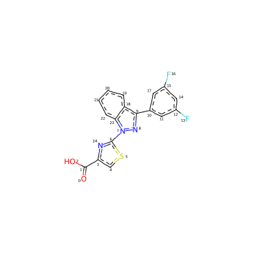 O=C(O)c1csc(-n2nc(-c3cc(F)cc(F)c3)c3ccccc32)n1